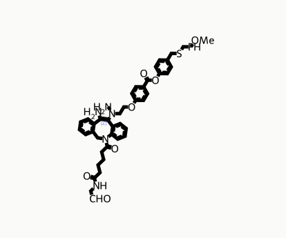 COPCSCc1ccc(OC(=O)c2ccc(OCCN(N)/C3=C(\N)c4ccccc4CN(C(=O)CCCCC(=O)NCC=O)c4ccccc43)cc2)cc1